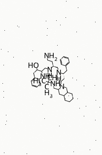 CC(C)(C)NCC1CC2CCCCC2CN1CC[C@@H](Cc1ccccc1)NC[C@H](CCN)NCC1Nc2ccccc2CC1O